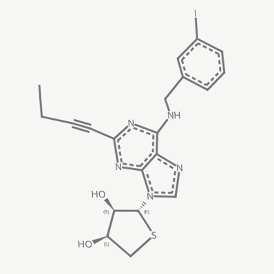 CCC#Cc1nc(NCc2cccc(I)c2)c2ncn([C@@H]3SC[C@@H](O)[C@H]3O)c2n1